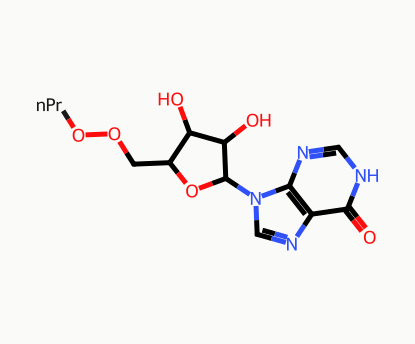 CCCOOCC1OC(n2cnc3c(=O)[nH]cnc32)C(O)C1O